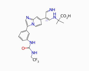 CC(C)(N/C=C(\C=N)c1ccn2c(-c3cccc(NC(=O)NCC(F)(F)F)c3)cnc2c1)C(=O)O